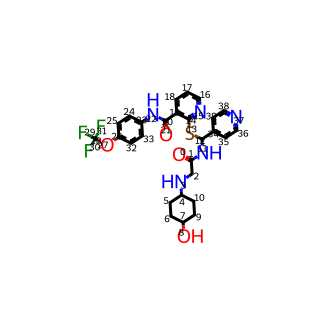 O=C(CNC1CCC(O)CC1)NC(Sc1ncccc1C(=O)Nc1ccc(OC(F)(F)F)cc1)c1ccncc1